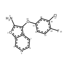 Nc1oc2cnccc2c1Oc1ccc(F)c(Cl)c1